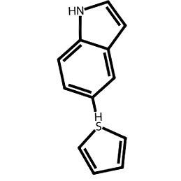 C1=C[SH](c2ccc3[nH]ccc3c2)C=C1